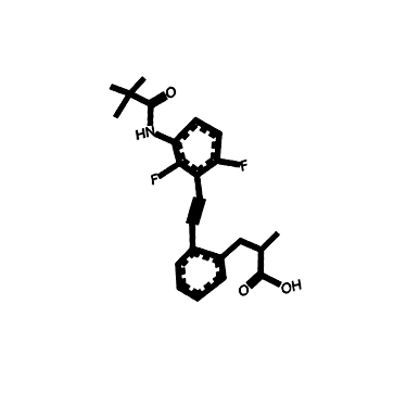 CC(Cc1ccccc1C#Cc1c(F)ccc(NC(=O)C(C)(C)C)c1F)C(=O)O